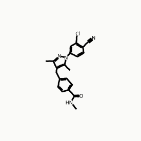 CNC(=O)c1ccc(Cc2c(C)nn(-c3ccc(C#N)c(Cl)c3)c2C)cc1